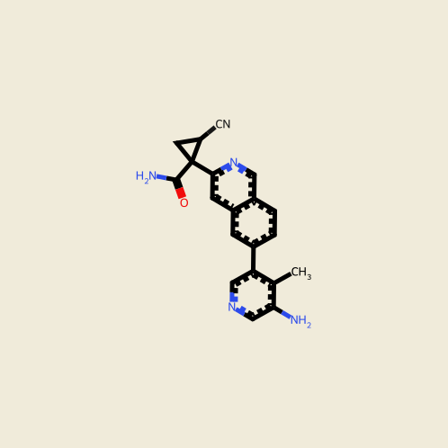 Cc1c(N)cncc1-c1ccc2cnc(C3(C(N)=O)CC3C#N)cc2c1